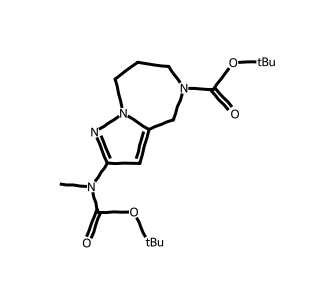 CN(C(=O)OC(C)(C)C)c1cc2n(n1)CCCN(C(=O)OC(C)(C)C)C2